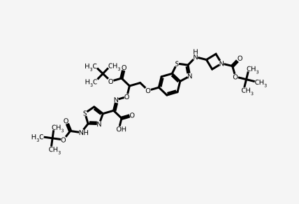 CC(C)(C)OC(=O)Nc1nc(/C(=N/OC(COc2ccc3nc(NC4CN(C(=O)OC(C)(C)C)C4)sc3c2)C(=O)OC(C)(C)C)C(=O)O)cs1